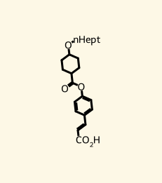 CCCCCCCOC1CCC(C(=O)Oc2ccc(C=CC(=O)O)cc2)CC1